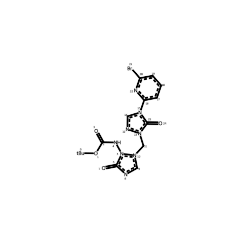 CC(C)(C)OC(=O)Nn1c(=O)ncn1Cn1ncn(-c2cccc(Br)n2)c1=O